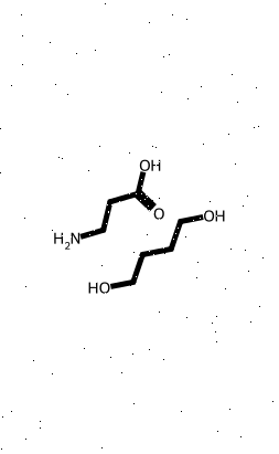 NCCC(=O)O.OCCCCO